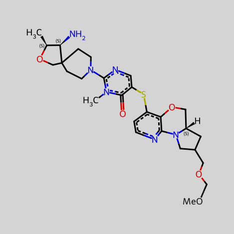 COCOCC1C[C@H]2COc3c(Sc4cnc(N5CCC6(CC5)CO[C@@H](C)[C@H]6N)n(C)c4=O)ccnc3N2C1